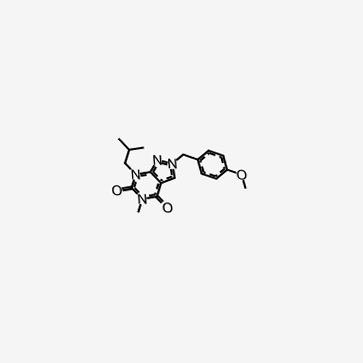 COc1ccc(Cn2cc3c(=O)n(C)c(=O)n(CC(C)C)c3n2)cc1